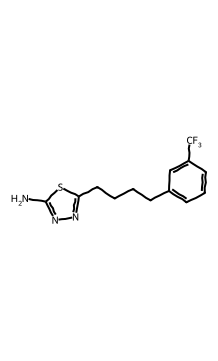 Nc1nnc(CCCCc2cccc(C(F)(F)F)c2)s1